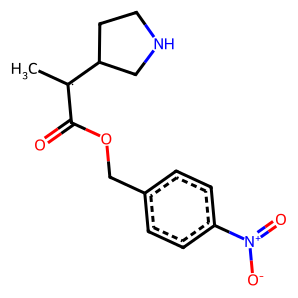 C[C](C(=O)OCc1ccc([N+](=O)[O-])cc1)C1CCNC1